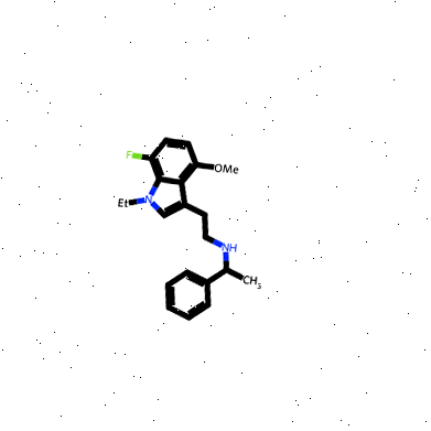 CCn1cc(CCNC(C)c2ccccc2)c2c(OC)ccc(F)c21